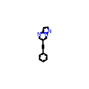 C(#Cc1cnc2ccnn2c1)c1ccccc1